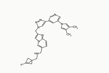 Cc1cn(-c2cncc(-c3cn(Cc4cn5cc(CNCC67CC(F)(C6)C7)ccc5n4)nn3)c2)cc1C